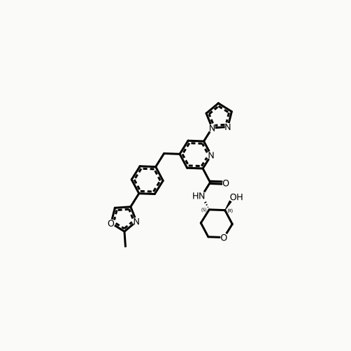 Cc1nc(-c2ccc(Cc3cc(C(=O)N[C@H]4CCOC[C@@H]4O)nc(-n4cccn4)c3)cc2)co1